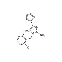 COc1cccc(Cl)c1Cn1cc(-c2cccs2)nc1N